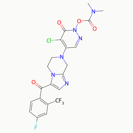 CN(C)C(=O)On1ncc(N2CCn3c(C(=O)c4ccc(F)cc4C(F)(F)F)cnc3C2)c(Cl)c1=O